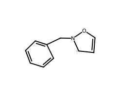 [C]1C=CON1Cc1ccccc1